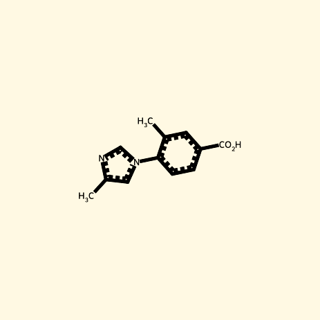 Cc1cn(-c2ccc(C(=O)O)cc2C)cn1